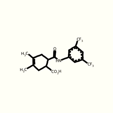 CC1=C(C)CC(C(=O)Nc2cc(C(F)(F)F)cc(C(F)(F)F)c2)C(C(=O)O)C1